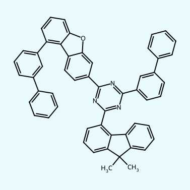 CC1(C)c2ccccc2-c2c(-c3nc(-c4cccc(-c5ccccc5)c4)nc(-c4ccc5c(c4)oc4cccc(-c6cccc(-c7ccccc7)c6)c45)n3)cccc21